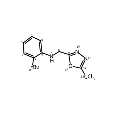 CC(C)(C)c1ccccc1NCc1nnc(C(Cl)(Cl)Cl)o1